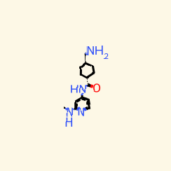 CNc1cc(NC(=O)[C@H]2CC[C@H](CN)CC2)ccn1